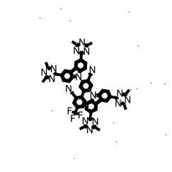 Cc1nc(C)nc(-c2ccc3c(c2)c2cc(-c4nc(C)nc(C)n4)ccc2n3-c2cc(-c3ccc(C(F)(F)F)cc3C#N)c(-n3c4ccc(-c5nc(C)nc(C)n5)cc4c4cc(-c5nc(C)nc(C)n5)ccc43)cc2C#N)n1